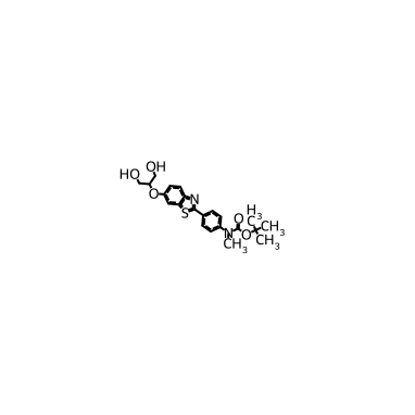 CN(C(=O)OC(C)(C)C)c1ccc(-c2nc3ccc(OC(CO)CO)cc3s2)cc1